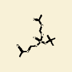 CC(=O)OCOP(=O)(OCOC(C)=O)OC(C)(C)C